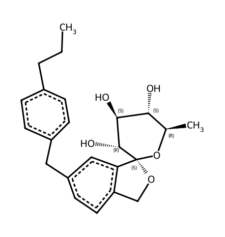 CCCc1ccc(Cc2ccc3c(c2)[C@]2(OC3)O[C@H](C)[C@@H](O)[C@H](O)[C@H]2O)cc1